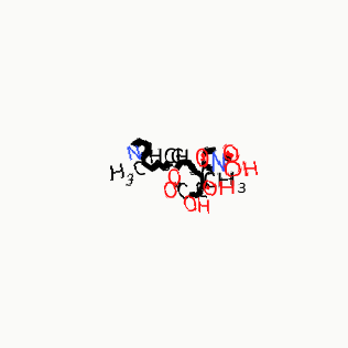 C/C(=C\C=C\[C@H](C)c1ccccn1)[C@H]1OC(=O)C[C@@H](O)CC[C@](C)(O)[C@H](C2CN(C(=O)O)CCO2)/C=C/[C@@H]1C